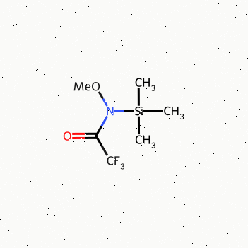 CON(C(=O)C(F)(F)F)[Si](C)(C)C